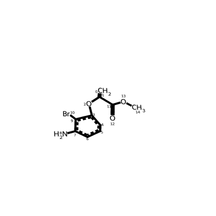 C=C(Oc1cccc(N)c1Br)C(=O)OC